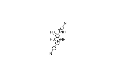 Cc1cc(C)c(-c2nc3c([nH]2)CC(C#N)C3)cc1C(=N)N1CCC(c2ccc(C#N)cc2)CC1